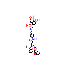 CN(CCC(=O)Nc1ccc(CCNC[C@@H](O)c2ccc(O)c3[nH]c(=O)ccc23)cc1)Cc1cnc(C(O)(c2ccccc2)c2ccccc2)o1